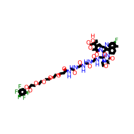 CC[C@]1(O)C(=O)OCc2c1cc1n(c2=O)Cc2c-1nc1cc(F)c(C)c3c1c2[C@H](NC(=O)[C@@H]1COCCN1C(=O)CNC(=O)CNC(=O)CNC(=O)CNC(=O)CNC(=O)CCOCCOCCOCCOCCC(=O)Oc1c(F)c(F)c(F)c(F)c1F)CC3